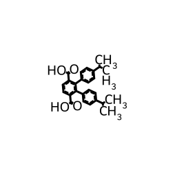 CC(C)c1ccc(-c2c(C(=O)O)ccc(C(=O)O)c2-c2ccc(C(C)C)cc2)cc1